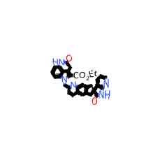 CCOC(=O)CC12CC(=O)Nc3cccc(c31)N(Cc1ccc3cc4c(cc3n1)C[C@]1(C4)C(=O)Nc3ncccc31)C2